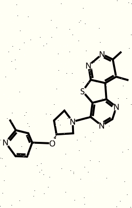 Cc1cc(O[C@@H]2CCN(c3ncnc4c3sc3nnc(C)c(C)c34)C2)ccn1